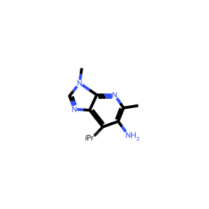 Cc1nc2c(ncn2C)c(C(C)C)c1N